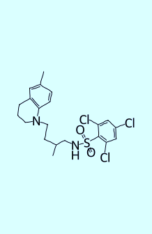 Cc1ccc2c(c1)CCCN2CCC(C)CNS(=O)(=O)c1c(Cl)cc(Cl)cc1Cl